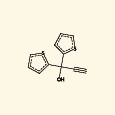 C#CC(O)(c1cccs1)c1cccs1